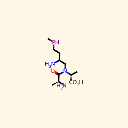 CPCCC(N)CN(C(=O)[C@H](C)N)[C@@H](C)C(=O)O